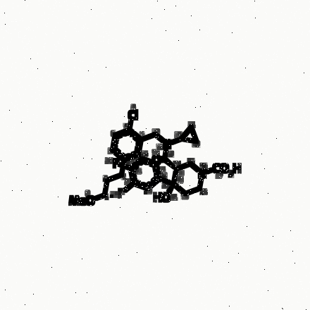 COCCCc1ccc(Cl)c(CN(C(=O)[C@H]2CN(C(=O)O)CC[C@]2(O)c2ccc(F)c(F)c2)C2CC2)c1